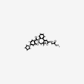 NC(=O)CNC(=O)C=C1c2ccccc2N(C(=O)c2ccc(N3CCCC3)cc2Cl)CCC1(F)F